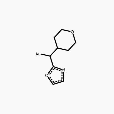 CC(=O)C(c1ncco1)C1CCOCC1